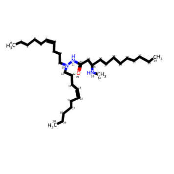 CCCCC/C=C\CCCN(CCC/C=C\CCCCC)NC(=O)CC(CCCCCCCCC)NC